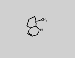 CN1CCCN2C=CCNC12